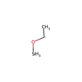 C[CH]O[SiH3]